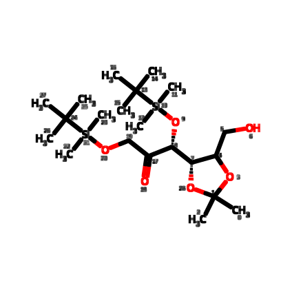 CC1(C)OC(CO)[C@@H]([C@@H](O[Si](C)(C)C(C)(C)C)C(=O)CO[Si](C)(C)C(C)(C)C)O1